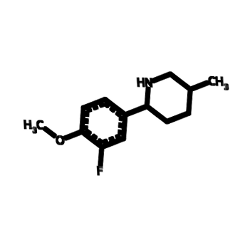 COc1ccc(C2CCC(C)CN2)cc1F